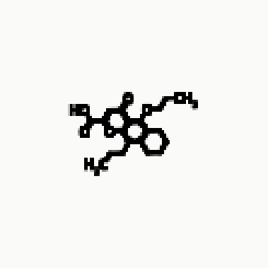 CCCOc1c2c(c(CCC)c3oc(C(=O)O)cc(=O)c13)CCCC2